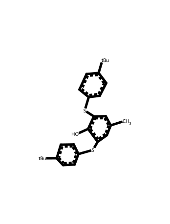 Cc1cc(Sc2ccc(C(C)(C)C)cc2)c(O)c(Sc2ccc(C(C)(C)C)cc2)c1